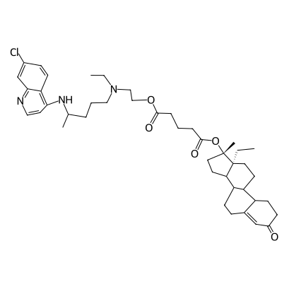 CCN(CCCC(C)Nc1ccnc2cc(Cl)ccc12)CCOC(=O)CCCC(=O)O[C@@]1(C)CCC2C3CCC4=CC(=O)CCC4C3CC[C@@]21CC